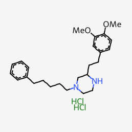 COc1ccc(CCC2CN(CCCCCc3ccccc3)CCN2)cc1OC.Cl.Cl